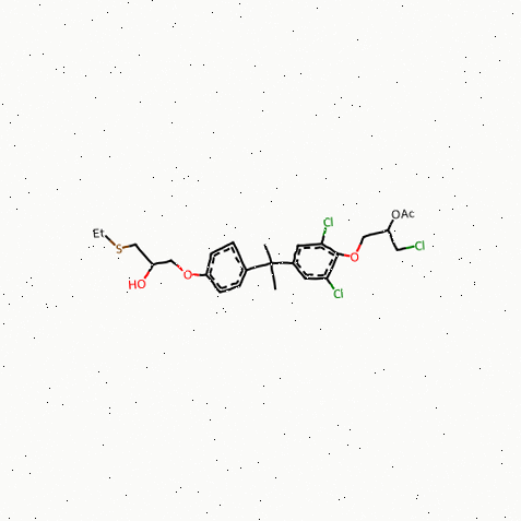 CCSCC(O)COc1ccc(C(C)(C)c2cc(Cl)c(OCC(CCl)OC(C)=O)c(Cl)c2)cc1